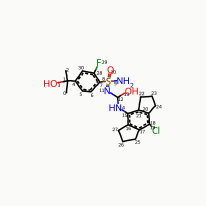 CC(C)(O)c1ccc(S(N)(=O)=NC(O)Nc2c3c(c(Cl)c4c2CCC4)CCC3)c(F)c1